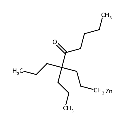 CCCCC(=O)C(CCC)(CCC)CCC.[Zn]